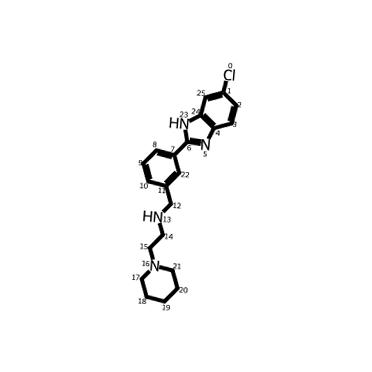 Clc1ccc2nc(-c3cccc(CNCCN4CCCCC4)c3)[nH]c2c1